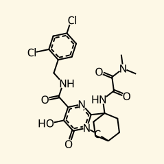 CN(C)C(=O)C(=O)NC12CCC(CC1)Cn1c2nc(C(=O)NCc2ccc(Cl)cc2Cl)c(O)c1=O